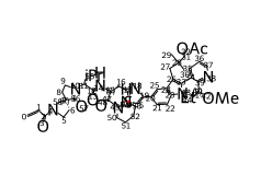 C=CC(=O)N1CC[C@@]2(CCN(C(C(=O)N[C@@H](Cc3nc(-c4ccc5c(c4)c(CC(C)(C)COC(C)=O)c(-c4cccnc4[C@H](C)OC)n5CC)cs3)C(=O)N3CCCCN3)C(C)C)C2=O)C1